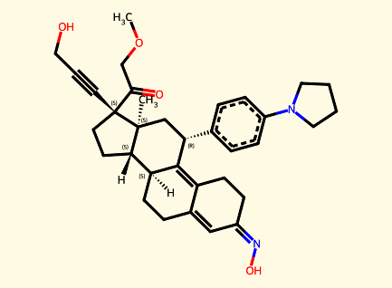 COCC(=O)[C@@]1(C#CCO)CC[C@H]2[C@@H]3CCC4=CC(=NO)CCC4=C3[C@@H](c3ccc(N4CCCC4)cc3)C[C@@]21C